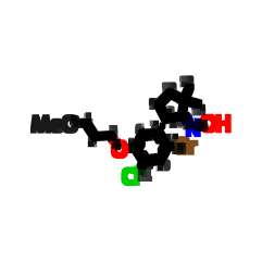 COCCCOc1cc([C@@H]2CCC(C)(C)C2=NO)c(Br)cc1Cl